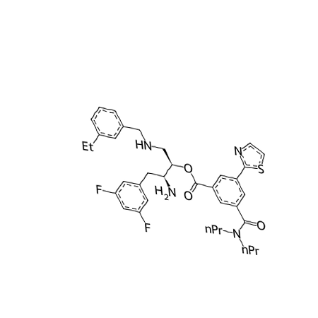 CCCN(CCC)C(=O)c1cc(C(=O)O[C@H](CNCc2cccc(CC)c2)[C@@H](N)Cc2cc(F)cc(F)c2)cc(-c2nccs2)c1